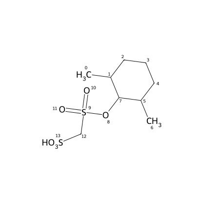 CC1CCCC(C)C1OS(=O)(=O)CS(=O)(=O)O